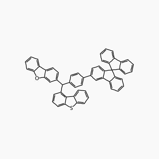 c1ccc2c(c1)-c1ccccc1C21c2ccccc2-c2cc(-c3ccc(C(c4ccc5c(c4)oc4ccccc45)c4cccc5sc6ccccc6c45)cc3)ccc21